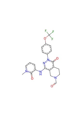 Cn1cccc(Nc2nn(-c3ccc(OC(F)(F)F)cc3)c(=O)c3c2CN(C=O)CC3)c1=O